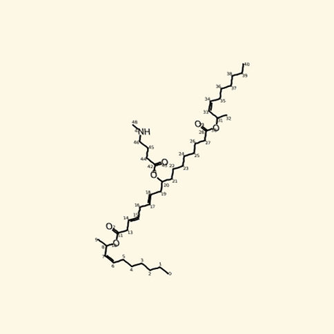 CCCCCC/C=C\C(C)OC(=O)C/C=C/C/C=C/CC(CCCCCCCC(=O)OC(C)/C=C\CCCCCC)OC(=O)CCCNC